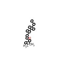 CCc1ccccc1-c1c(CC)ccc2oc3c4cc(-c5ccc(-c6c7ccccc7c(-c7cccc(-c8ccccc8)c7)c7ccccc67)c6ccccc56)ccc4ccc3c12